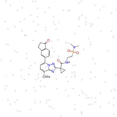 COc1ccc(-c2ccc3c(c2)CCC3=O)n2nc(C3(C(=O)NCCS(=O)(=O)N(C)C)CC3)nc12